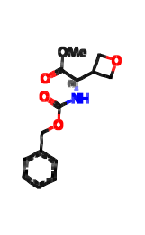 COC(=O)[C@@H](NC(=O)OCc1ccccc1)C1COC1